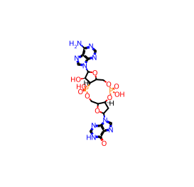 Nc1ncnc2c1ncn2C1OC2COP(=O)(O)O[C@H]3CC(n4cnc5c(=O)[nH]cnc54)OC3COP(=O)(O)[C@H]2[C@H]1O